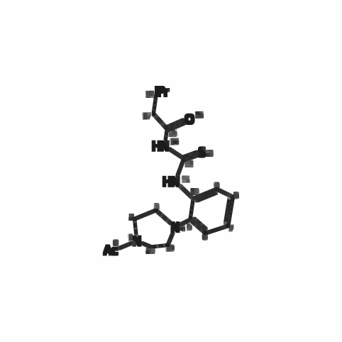 CC(=O)N1CCN(c2ccccc2NC(=S)NC(=O)CC(C)C)CC1